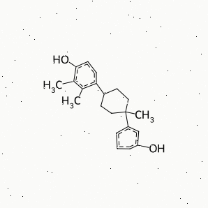 Cc1c(O)ccc(C2CCC(C)(c3cccc(O)c3)CC2)c1C